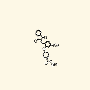 CC(C)(C)OC(=O)N1CCC(Oc2cc(C(C)(C)C)ccc2CN2C(=O)c3ccccc3C2=O)CC1